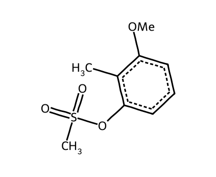 COc1cccc(OS(C)(=O)=O)c1C